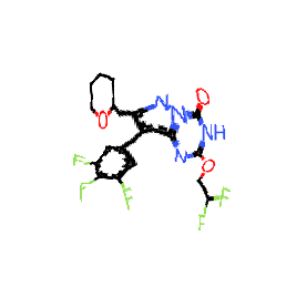 O=c1[nH]c(OCC(F)F)nc2c(-c3cc(F)c(F)c(F)c3)c(C3CCCCO3)nn12